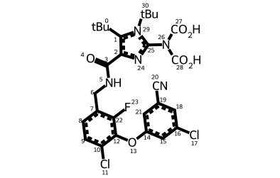 CC(C)(C)c1c(C(=O)NCc2ccc(Cl)c(Oc3cc(Cl)cc(C#N)c3)c2F)nc(N(C(=O)O)C(=O)O)n1C(C)(C)C